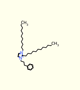 CCCCCCCCCCCCc1n(CCCCCCCCCCC)cc[n+]1CCCc1ccccc1